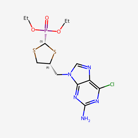 CCOP(=O)(OCC)[C@H]1SC[C@@H](Cn2cnc3c(Cl)nc(N)nc32)S1